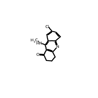 CNc1c2c(nc3ccc(Cl)cc13)CCCC2=O